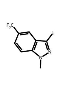 Cn1nc(I)c2cc(C(F)(F)F)ccc21